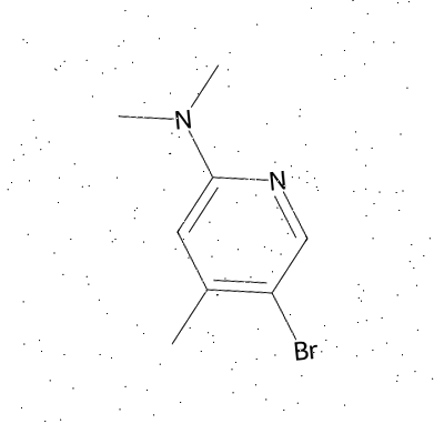 Cc1cc(N(C)C)ncc1Br